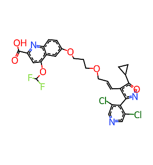 O=C(O)c1cc(OC(F)F)c2cc(OCCCOC/C=C/c3c(-c4c(Cl)cncc4Cl)noc3C3CC3)ccc2n1